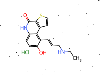 CCNCC=Cc1c(O)ccc2[nH]c(=O)c3sccc3c12.Cl